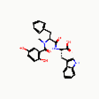 CN(C(=O)c1cc(O)ccc1O)[C@@H](Cc1ccccc1)C(=O)N[C@@H](Cc1c[nH]c2ccccc12)C(=O)O